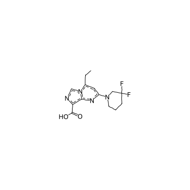 CCc1cc(N2CCCC(F)(F)C2)nc2c(C(=O)O)ncn12